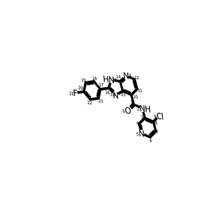 O=C(Nc1cnccc1Cl)c1ccnc2[nH]c(-c3ccc(F)cc3)nc12